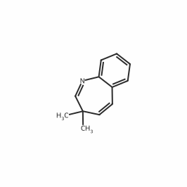 CC1(C)C=Cc2ccccc2N=C1